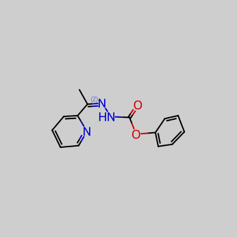 C/C(=N/NC(=O)Oc1ccccc1)c1ccccn1